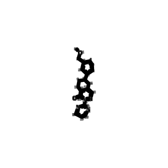 COCc1cccc(C2CCc3c(cnn(-c4ncccn4)c3=O)C2)c1